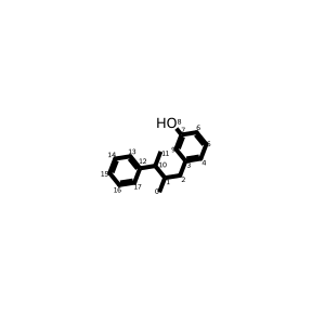 CC(Cc1cccc(O)c1)C(C)c1ccccc1